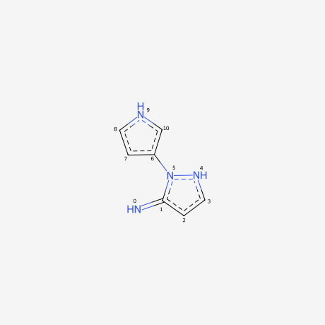 N=c1cc[nH]n1-c1cc[nH]c1